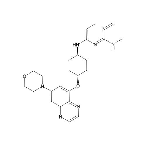 C=N/C(=N\C(=C/C)N[C@H]1CC[C@@H](Oc2cc(N3CCOCC3)cc3nccnc23)CC1)NC